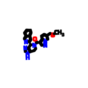 COCc1ccc2c(C(=O)N3CCc4[nH]cnc4[C@H]3c3cc4ccccc4cn3)cnn2c1